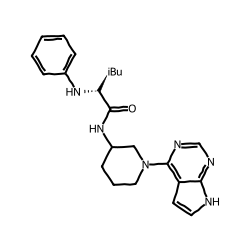 CC[C@H](C)[C@@H](Nc1ccccc1)C(=O)NC1CCCN(c2ncnc3[nH]ccc23)C1